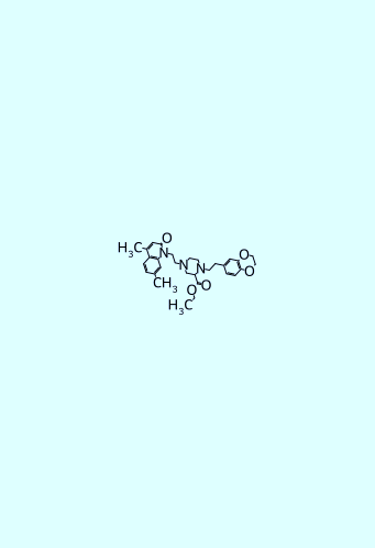 CCOC(=O)C1CN(CCn2c(=O)cc(C)c3ccc(C)cc32)CCN1CCc1ccc2c(c1)OCCO2